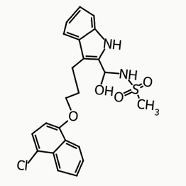 CS(=O)(=O)NC(O)c1[nH]c2ccccc2c1CCCOc1ccc(Cl)c2ccccc12